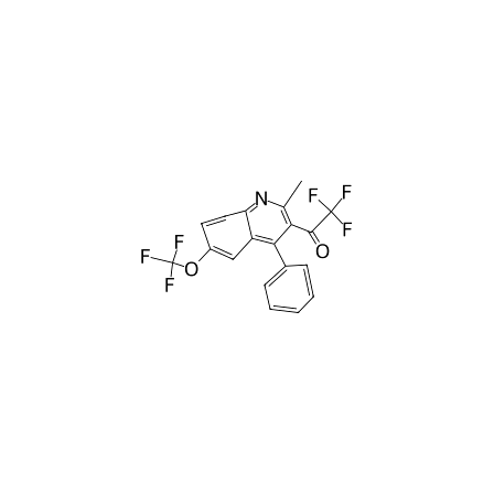 Cc1nc2ccc(OC(F)(F)F)cc2c(-c2ccccc2)c1C(=O)C(F)(F)F